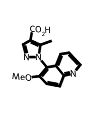 COc1ccc2ncccc2c1-n1ncc(C(=O)O)c1C